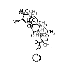 CC1(C)C(=O)C(C#N)=C[C@]2(C)C3=CC(=O)[C@@H]4[C@@H]5C[C@@](C)(C(=O)OCc6ccccc6)CC[C@]5(C)CC[C@@]4(C)[C@]3(C)CC[C@@H]12